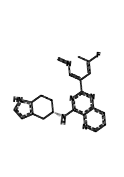 C=N/C=C(\C=C(/C)F)c1nc(N[C@H]2CCc3[nH]ccc3C2)c2ncccc2n1